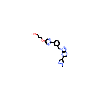 Cn1cc(-c2cnc3nnn(Cc4cccc(-c5ncc(OCCCO)cn5)c4)c3n2)cn1